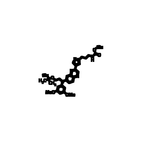 COc1cc(OC)cc(N(CCO[Si](C)(C)C(C)(C)C)c2ccc3ncc(-c4cnn(CCCNC(=O)OC(C)(C)C)c4)nc3c2)c1